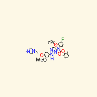 CCCOc1cc(F)ccc1N(C(=O)Oc1c(C)cccc1C)c1ccnc(Nc2ccc(OCCCN3CCN(C)CC3)c(OC)c2)n1